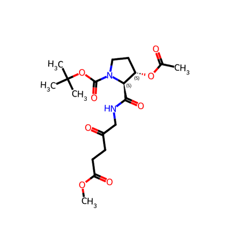 COC(=O)CCC(=O)CNC(=O)[C@@H]1[C@@H](OC(C)=O)CCN1C(=O)OC(C)(C)C